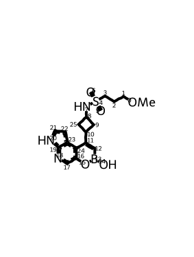 COCCCS(=O)(=O)NC1CC(C2=CB(O)Oc3cnc4[nH]ccc4c32)C1